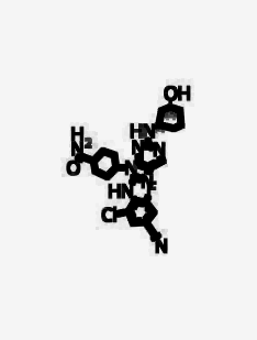 N#Cc1cc(F)c(Nc2nc3cnc(N[C@@H]4CCC[C@@H](O)C4)nc3n2C2CCC(C(N)=O)CC2)c(Cl)c1